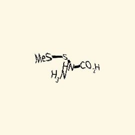 CSSNC(=O)O.N